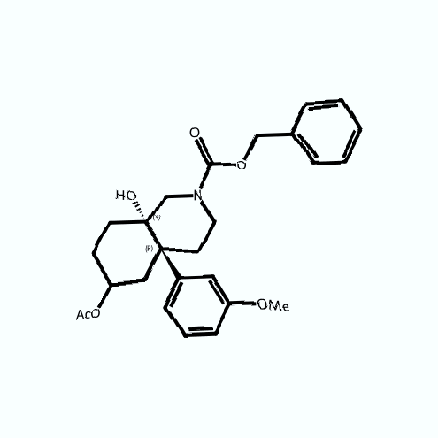 COc1cccc([C@]23CCN(C(=O)OCc4ccccc4)C[C@]2(O)CCC(OC(C)=O)C3)c1